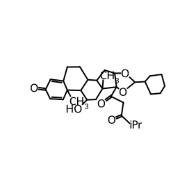 CC(C)C(=O)CC(=O)C12OC(C3CCCCC3)OC1CC1C3CCC4=CC(=O)C=CC4(C)C3C(O)CC12C